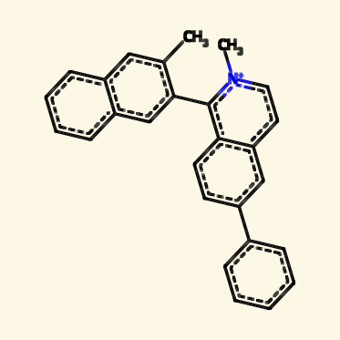 Cc1cc2ccccc2cc1-c1c2ccc(-c3ccccc3)cc2cc[n+]1C